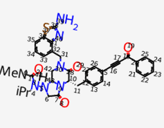 CNC(=O)N(C(C)C)N1CC(=O)N2[C@@H](Cc3ccc(C#CC(=O)c4ccccc4)cc3)C(=O)N(Cc3cccc4sc(N)nc34)C[C@@H]21